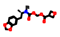 CCN(C(=O)OCOC(=O)C1COC1)[C@@H](C)Cc1ccc2c(c1)OCO2